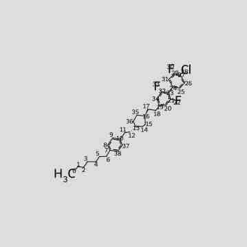 CCCCCCCc1ccc(CC[C@H]2CC[C@H](CCc3cc(F)c(-c4ccc(Cl)c(F)c4)c(F)c3)CC2)cc1